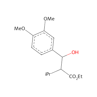 CCOC(=O)C(C(C)C)C(O)c1ccc(OC)c(OC)c1